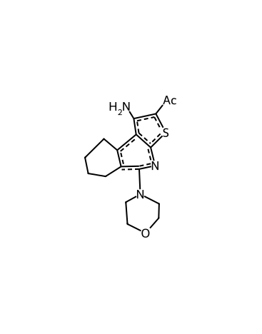 CC(=O)c1sc2nc(N3CCOCC3)c3c(c2c1N)CCCC3